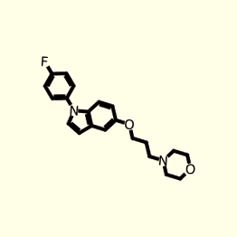 Fc1ccc(-n2ccc3cc(OCCCN4CCOCC4)ccc32)cc1